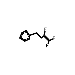 FC(F)=C(F)CCc1ccccc1